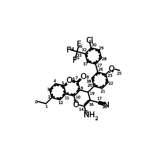 CCc1ccc2oc(=O)c3c(c2c1)OC(N)=C(C#N)C3c1ccc(OC)c(-c2ccc(Cl)c(C(F)(F)F)c2)c1